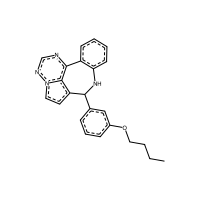 CCCCOc1cccc(C2Nc3ccccc3-c3ncnn4ccc2c34)c1